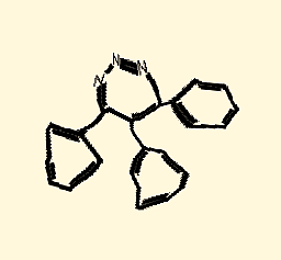 c1ccc(-c2nnnc(-c3ccccc3)c2-c2ccccc2)cc1